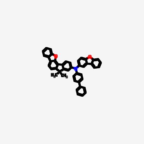 C[Si]1(C)c2cc(N(c3ccc(-c4ccccc4)cc3)c3ccc4oc5ccccc5c4c3)ccc2-c2c1ccc1c2oc2ccccc21